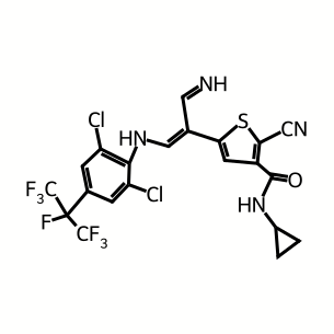 N#Cc1sc(/C(C=N)=C/Nc2c(Cl)cc(C(F)(C(F)(F)F)C(F)(F)F)cc2Cl)cc1C(=O)NC1CC1